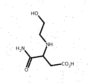 NC(=O)C(CC(=O)O)NCCO